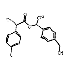 CC(C)C(C(=O)OC(C#N)c1ccc(CC#N)cc1)c1ccc(Cl)cc1